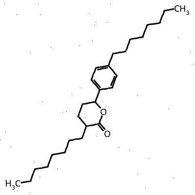 CCCCCCCCc1ccc(C2CCC(CCCCCCCC)C(=O)O2)cc1